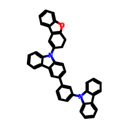 C1=C(n2c3ccccc3c3cc(-c4cccc(-n5c6ccccc6c6ccccc65)c4)ccc32)CCc2oc3ccccc3c21